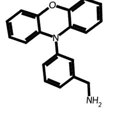 NCc1cccc(N2c3ccccc3Oc3ccccc32)c1